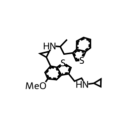 COc1cc(C2CC2NC(C)Cc2csc3ccccc23)c2scc(CCNC3CC3)c2c1